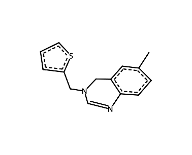 Cc1ccc2c(c1)CN(Cc1cccs1)C=N2